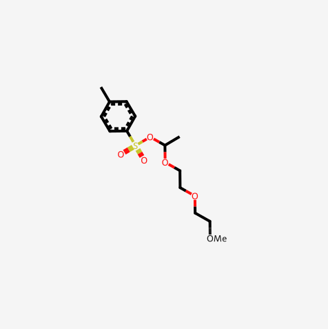 COCCOCCOC(C)OS(=O)(=O)c1ccc(C)cc1